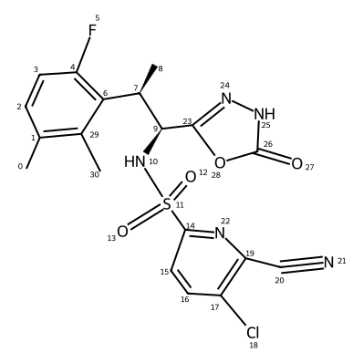 Cc1ccc(F)c([C@@H](C)[C@H](NS(=O)(=O)c2ccc(Cl)c(C#N)n2)c2n[nH]c(=O)o2)c1C